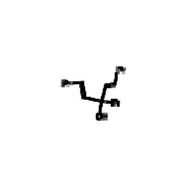 CC(C)C=CC(O)(C=CC(C)C)C(C)C